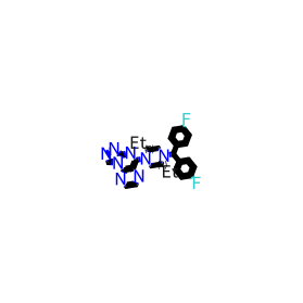 CC[C@H]1CN(C(c2ccc(F)cc2)c2ccc(F)cc2)[C@H](CC)CN1c1nc2nncn2c2nccnc12